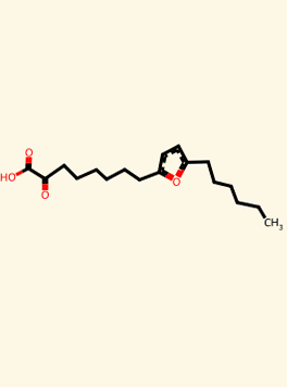 CCCCCCc1ccc(CCCCCCC(=O)C(=O)O)o1